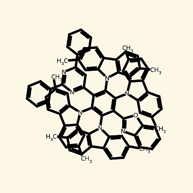 Cc1ccc2c3ccc(C)cc3n(-c3c(-c4cc(-c5ccccc5)nc(-c5ccccc5)n4)c(-n4c5cc(C)ccc5c5ccc(C)cc54)c(-n4c5cc(C)ccc5c5ccc(C)cc54)c(-c4nc5ccccc5o4)c3-n3c4cc(C)ccc4c4ccc(C)cc43)c2c1